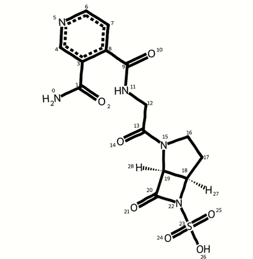 NC(=O)c1cnccc1C(=O)NCC(=O)N1CC[C@@H]2[C@H]1C(=O)N2S(=O)(=O)O